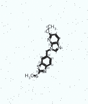 COc1ccc2ncn(Cc3ccc4nc(SC)sc4c3)c2n1